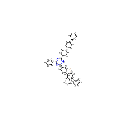 c1ccc(-c2ccc(-c3ccc(-c4nc(-c5ccccc5)nc(-c5ccc6c(c5)sc5cc7c8c(cccc8c56)-c5ccccc5-7)n4)cc3)cc2)cc1